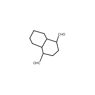 O=CC1CCC(C=O)C2CCCCC12